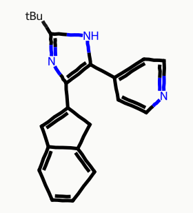 CC(C)(C)c1nc(C2=Cc3ccccc3C2)c(-c2ccncc2)[nH]1